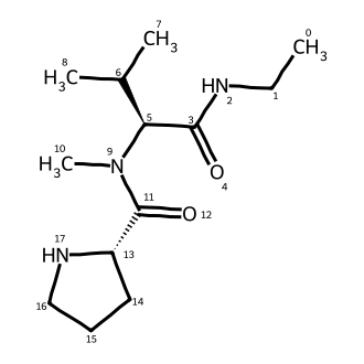 CCNC(=O)[C@H](C(C)C)N(C)C(=O)[C@@H]1CCCN1